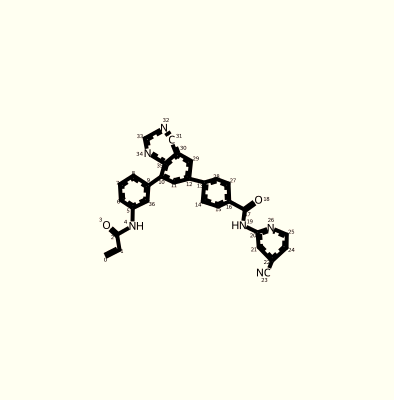 C=CC(=O)Nc1cccc(-c2cc(-c3ccc(C(=O)Nc4cc(C#N)ccn4)cc3)cc3cncnc23)c1